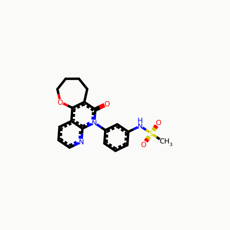 CS(=O)(=O)Nc1cccc(-n2c(=O)c3c(c4cccnc42)OCCCC3)c1